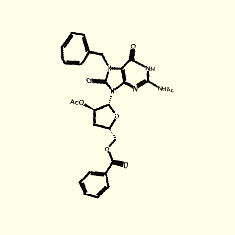 CC(=O)Nc1nc2c(c(=O)[nH]1)n(Cc1ccccc1)c(=O)n2[C@@H]1O[C@H](COC(=O)c2ccccc2)C[C@H]1OC(C)=O